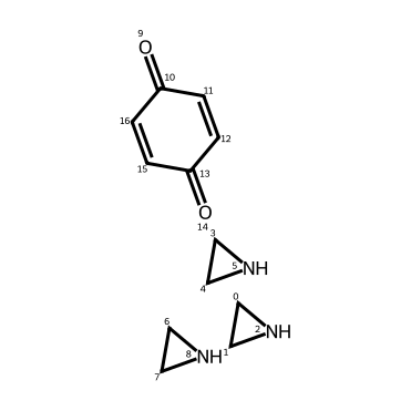 C1CN1.C1CN1.C1CN1.O=C1C=CC(=O)C=C1